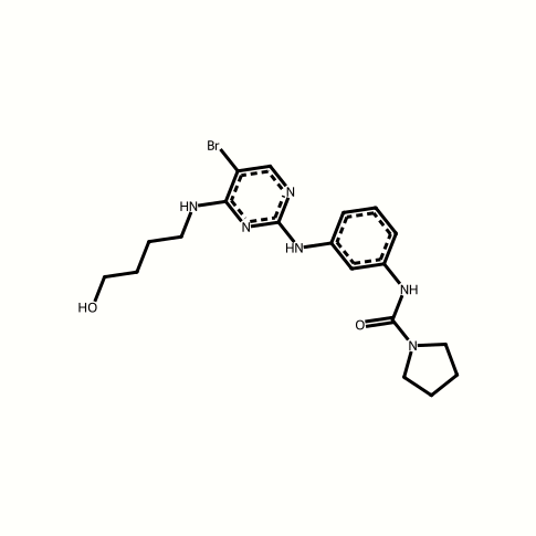 O=C(Nc1cccc(Nc2ncc(Br)c(NCCCCO)n2)c1)N1CCCC1